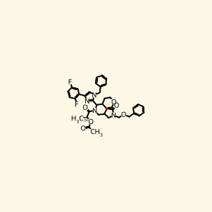 CC(=O)O[C@@H](C)C(=O)N(CC1CC(=O)N(COCc2ccccc2)C1)C(c1nc(-c2cc(F)ccc2F)cn1Cc1ccccc1)C1CCOCC1